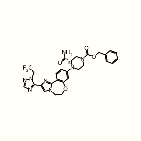 NC(=O)[C@@H]1CN(C(=O)OCc2ccccc2)CCN1c1ccc2c(c1)OCCn1cc(-c3ncnn3CC(F)(F)F)nc1-2